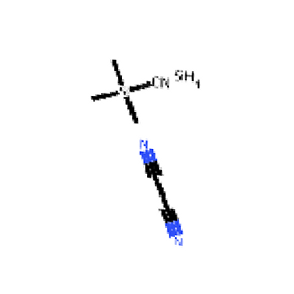 C[Si](C)(C)C#N.N#CC#N.[SiH4]